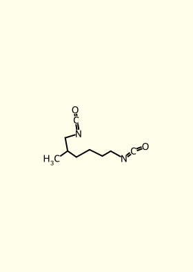 CC(CCCCN=C=O)CN=C=O